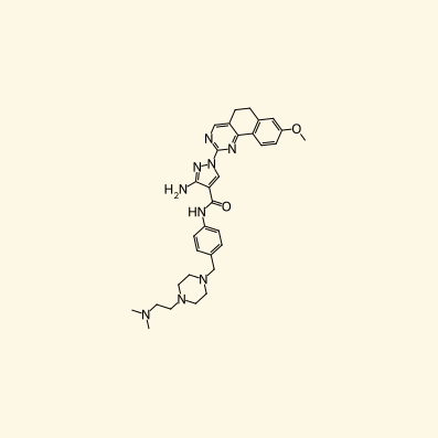 COc1ccc2c(c1)CCc1cnc(-n3cc(C(=O)Nc4ccc(CN5CCN(CCN(C)C)CC5)cc4)c(N)n3)nc1-2